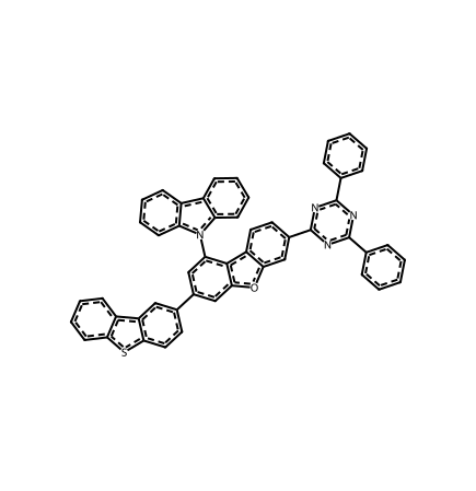 c1ccc(-c2nc(-c3ccccc3)nc(-c3ccc4c(c3)oc3cc(-c5ccc6sc7ccccc7c6c5)cc(-n5c6ccccc6c6ccccc65)c34)n2)cc1